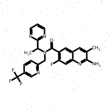 Cc1cc2cc(C(=O)N(Cc3ccc(C(F)(F)F)cn3)C(C)c3ncccn3)c(F)cc2nc1N